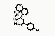 Nc1ccc(C2=NNC(=O)[C@@](c3cccc4ncccc34)(C(F)(F)F)C2)cc1